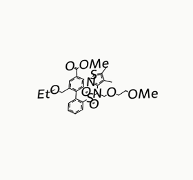 CCOCc1cc(C(=O)OC)ccc1-c1ccccc1S(=O)(=O)N(COCCOC)c1nsc(C)c1C